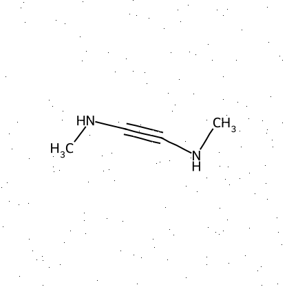 CNC#CNC